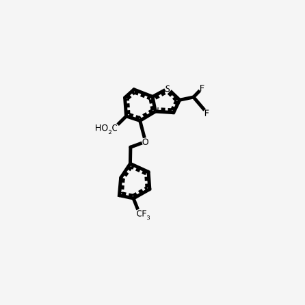 O=C(O)c1ccc2sc(C(F)F)cc2c1OCc1ccc(C(F)(F)F)cc1